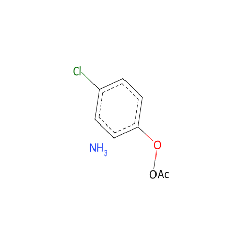 CC(=O)OOc1ccc(Cl)cc1.N